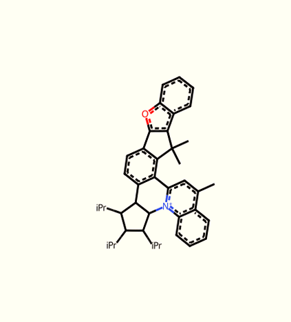 Cc1cc2[n+](c3ccccc13)C1C(c3ccc4c(c3-2)C(C)(C)c2c-4oc3ccccc23)C(C(C)C)C(C(C)C)C1C(C)C